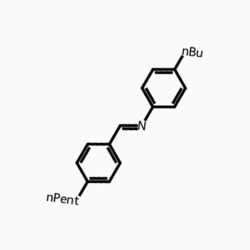 CCCCCc1ccc(C=Nc2ccc(CCCC)cc2)cc1